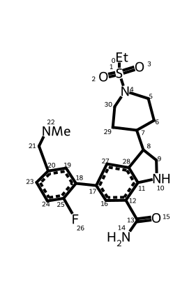 CCS(=O)(=O)N1CCC(C2CNc3c(C(N)=O)cc(-c4cc(CNC)ccc4F)cc32)CC1